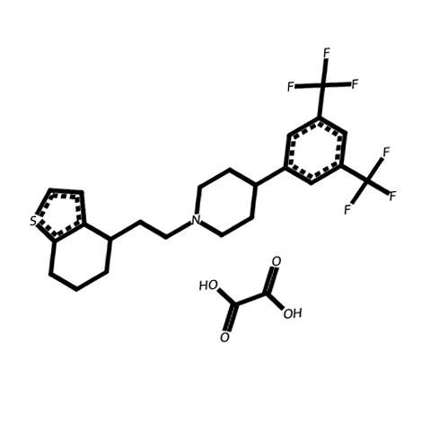 FC(F)(F)c1cc(C2CCN(CCC3CCCc4sccc43)CC2)cc(C(F)(F)F)c1.O=C(O)C(=O)O